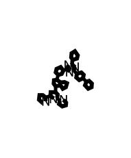 c1ccc(-c2ccc(-c3nc(-c4ccccc4)nc(-c4cccc(-c5ccc(-c6cc(-c7ccccn7)nc(-c7ccccn7)c6)c6ccccc56)c4)n3)cc2)cc1